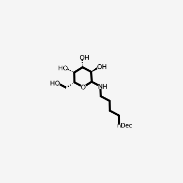 CCCCCCCCCCCCCCNC1O[C@H](CO)[C@H](O)[C@H](O)[C@H]1O